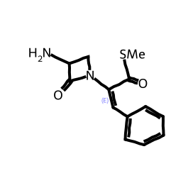 CSC(=O)/C(=C\c1ccccc1)N1CC(N)C1=O